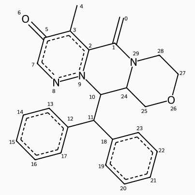 C=C1c2c(C)c(=O)cnn2C(C(c2ccccc2)c2ccccc2)C2COCCN12